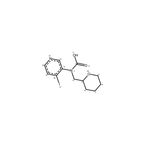 O=C(O)N(CC1CCCCO1)c1cnccc1I